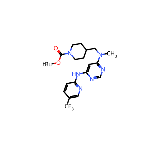 CN(CC1CCN(C(=O)OC(C)(C)C)CC1)c1cc(Nc2ccc(C(F)(F)F)cn2)ncn1